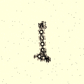 CCn1ncn(-c2ccc(N3CCN(c4ccc(-c5ccc(C(F)(F)[C@](O)(Cn6cnnn6)c6ccc(F)cc6F)nc5)cc4)CC3)cc2)c1=O